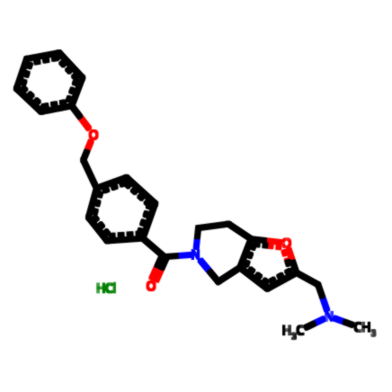 CN(C)Cc1cc2c(o1)CCN(C(=O)c1ccc(COc3ccccc3)cc1)C2.Cl